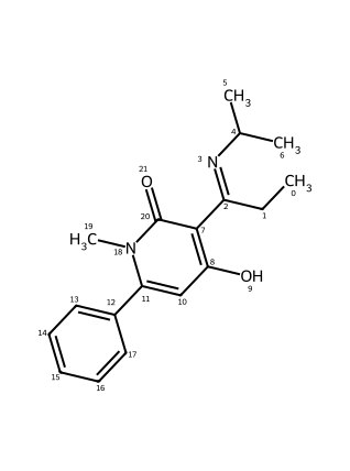 CCC(=NC(C)C)c1c(O)cc(-c2ccccc2)n(C)c1=O